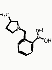 CC1CCN(Cc2ccccc2B(O)O)C1